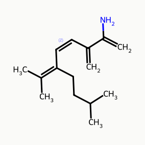 C=C(N)C(=C)/C=C\C(CCC(C)C)=C(C)C